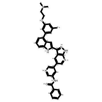 CN(C)CCOc1cc(F)cc(-c2cccc3[nH]c(-c4n[nH]c5ncc(-c6cncc(NC(=O)c7ccccc7)c6)cc45)cc23)c1